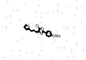 COc1ccc(C2=N/C(=C/CCc3cccs3)C(=O)O2)cc1